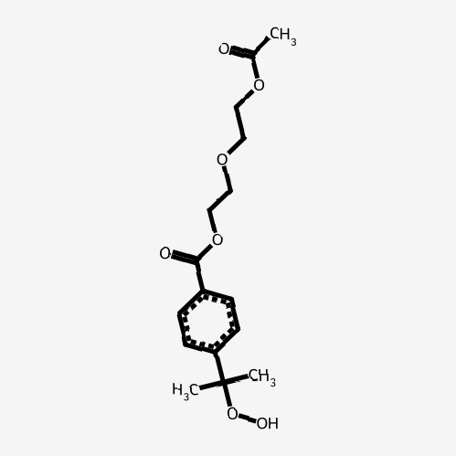 CC(=O)OCCOCCOC(=O)c1ccc(C(C)(C)OO)cc1